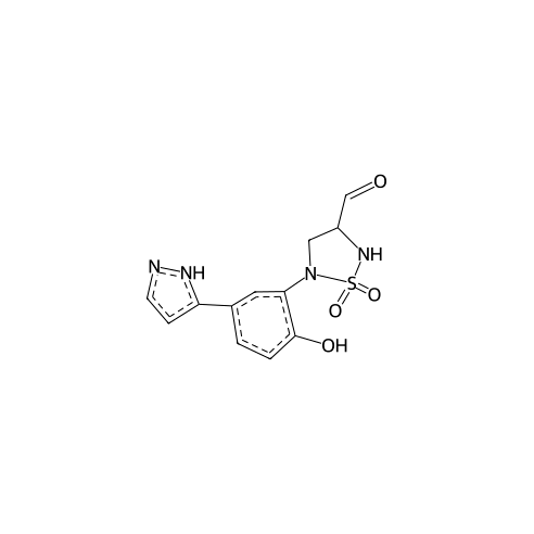 O=CC1CN(c2cc(-c3ccn[nH]3)ccc2O)S(=O)(=O)N1